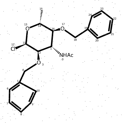 CC(=O)N[C@@H]1[C@@H](OCc2ccccc2)[C@@H](Cl)O[C@H](C)[C@H]1OCc1ccccc1